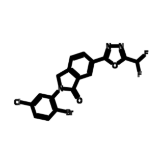 O=C1c2cc(-c3nnc(C(F)F)o3)ccc2CN1c1cc(Cl)ccc1Br